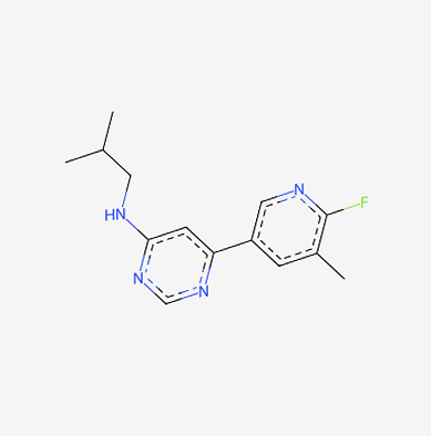 Cc1cc(-c2cc(NCC(C)C)ncn2)cnc1F